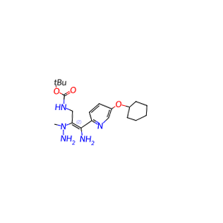 CN(N)/C(CNC(=O)OC(C)(C)C)=C(\N)c1ccc(OC2CCCCC2)cn1